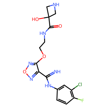 N=C(Nc1ccc(F)c(Cl)c1)c1nonc1OCCNC(=O)C1(O)CNC1